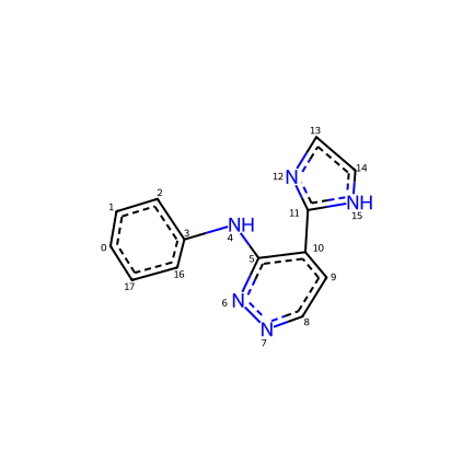 c1ccc(Nc2nnccc2-c2ncc[nH]2)cc1